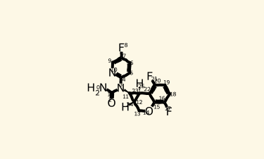 NC(=O)N(c1ccc(F)cn1)[C@@H]1[C@H]2COc3c(F)ccc(F)c3[C@@H]21